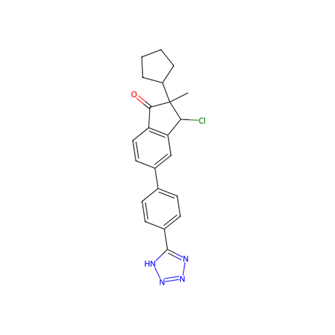 CC1(C2CCCC2)C(=O)c2ccc(-c3ccc(-c4nnn[nH]4)cc3)cc2C1Cl